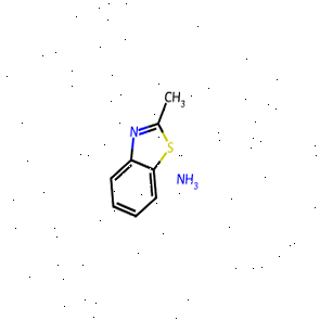 Cc1nc2ccccc2s1.N